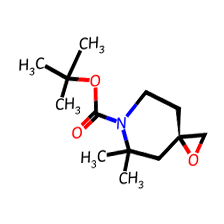 CC(C)(C)OC(=O)N1CC[C@]2(CO2)CC1(C)C